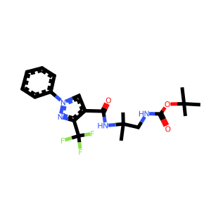 CC(C)(CNC(=O)OC(C)(C)C)NC(=O)c1cn(-c2ccccc2)nc1C(F)(F)F